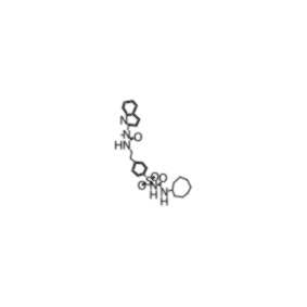 CN(C(=O)NCCc1ccc(S(=O)(=O)NC(=O)NC2CCCCCCC2)cc1)c1ccc2ccccc2n1